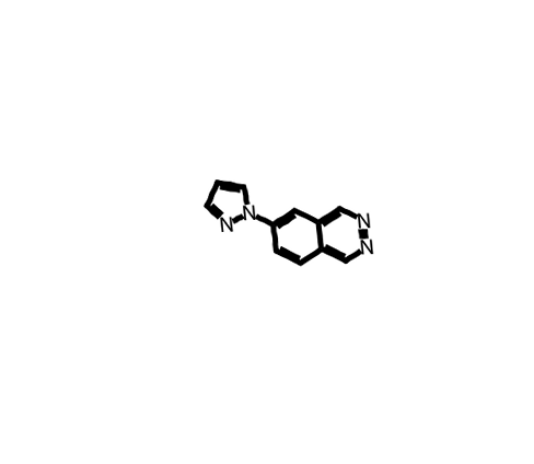 c1cnn(-c2ccc3cnncc3c2)c1